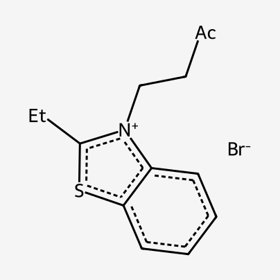 CCc1sc2ccccc2[n+]1CCC(C)=O.[Br-]